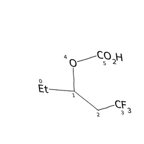 CCC(CC(F)(F)F)OC(=O)O